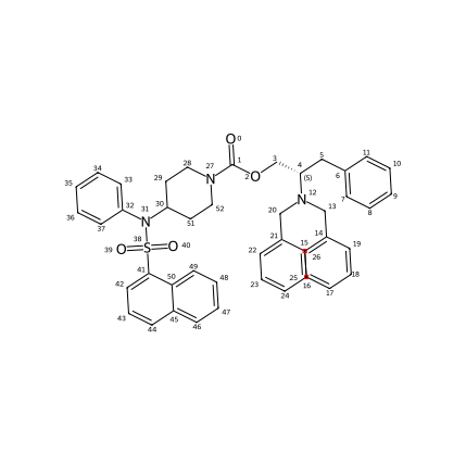 O=C(OC[C@H](Cc1ccccc1)N(Cc1ccccc1)Cc1ccccc1)N1CCC(N(c2ccccc2)S(=O)(=O)c2cccc3ccccc23)CC1